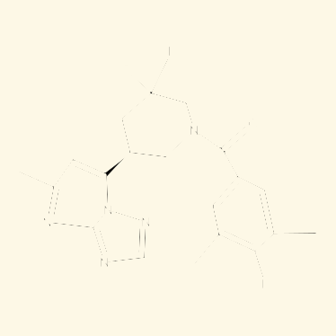 Cc1cc([C@@H]2CN(C(=O)c3cc(C)c(F)c(C)c3)CC(F)(F)C2)n2ncnc2n1